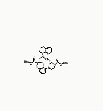 CN(C[C@@H]1Cc2c(cccc2N2CCN(C(=O)OC(C)(C)C)CC2)CN1C(=O)OC(C)(C)C)[C@H]1CCCc2cccnc21